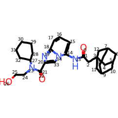 O=C(CC12CC3CC(CC(C3)C1)C2)Nc1cccc2nc(C(=O)N(CCO)C3CCCCC3)cn12